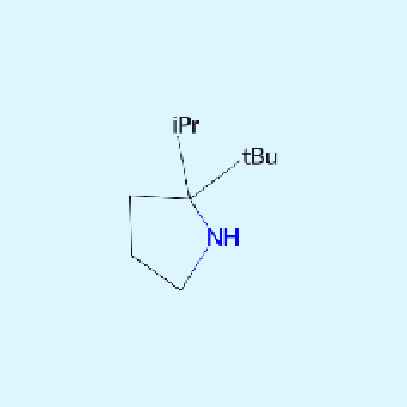 CC(C)C1(C(C)(C)C)CCCN1